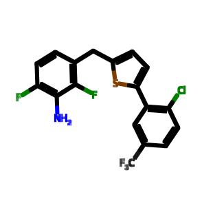 Nc1c(F)ccc(Cc2ccc(-c3cc(C(F)(F)F)ccc3Cl)s2)c1F